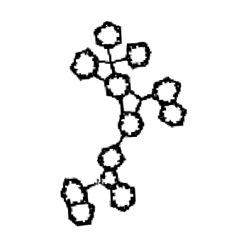 c1ccc(C2(c3ccccc3)c3ccccc3-c3cc4c(cc32)C(c2cccc3ccccc23)c2ccc(-c3ccc5c(c3)c3ccccc3n5-c3cccc5ccccc35)cc2-4)cc1